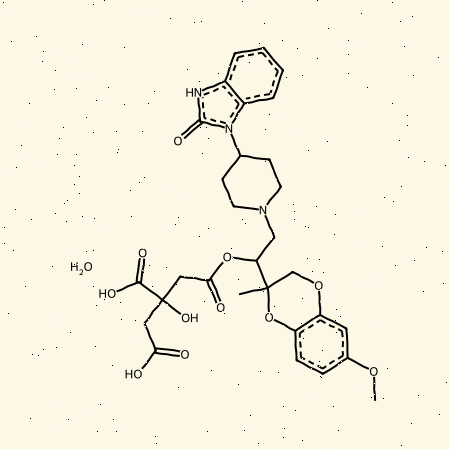 COc1ccc2c(c1)OCC(C)(C(CN1CCC(n3c(=O)[nH]c4ccccc43)CC1)OC(=O)CC(O)(CC(=O)O)C(=O)O)O2.O